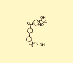 O=C(c1ccc(-c2ccc3cnn(CCO)c3c2)cc1)N1CCN(C(O)C2(O)CC2)CC1